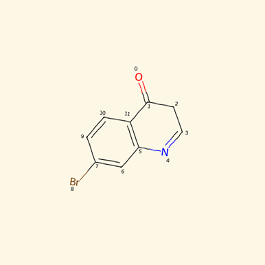 O=C1CC=Nc2cc(Br)ccc21